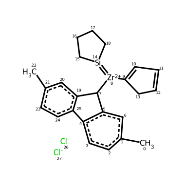 Cc1ccc2c(c1)[CH]([Zr+2]([C]1=CC=CC1)=[Si]1CCCC1)c1cc(C)ccc1-2.[Cl-].[Cl-]